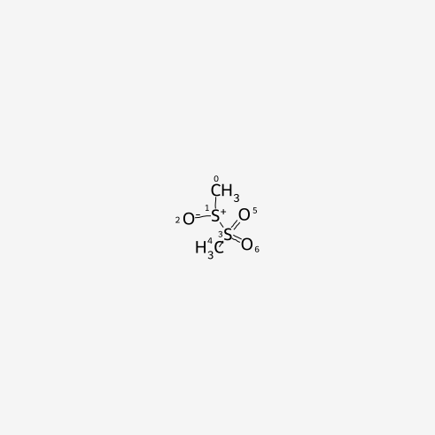 C[S+]([O-])S(C)(=O)=O